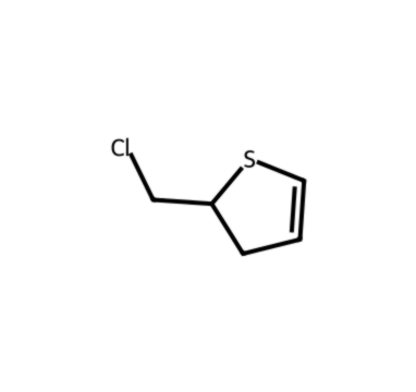 ClCC1CC=CS1